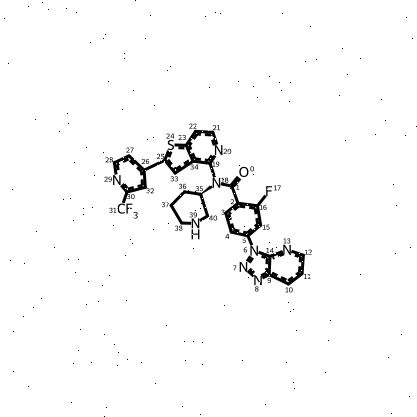 O=C(c1ccc(-n2nnc3cccnc32)cc1F)N(c1nccc2sc(-c3ccnc(C(F)(F)F)c3)cc12)[C@@H]1CCCNC1